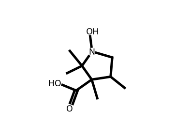 CC1CN(O)C(C)(C)C1(C)C(=O)O